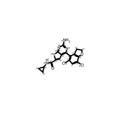 Nc1nc(-c2c(Cl)cc(Cl)c3c2CCO3)c2cc(C(=O)NC3CC3)sc2n1